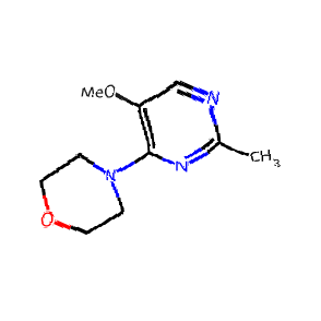 COc1cnc(C)nc1N1CCOCC1